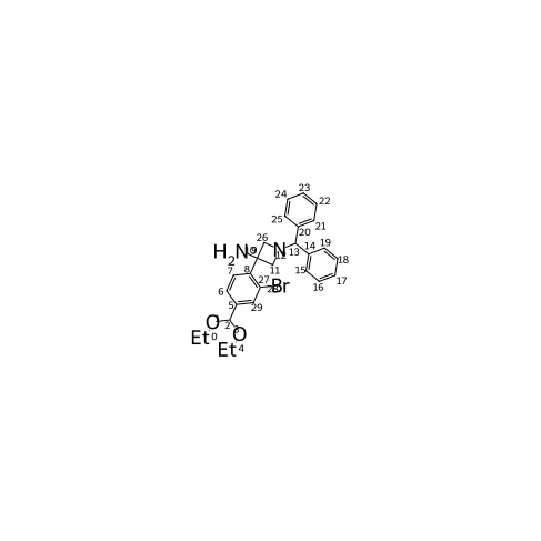 CCOC(OCC)c1ccc(C2(N)CN(C(c3ccccc3)c3ccccc3)C2)c(Br)c1